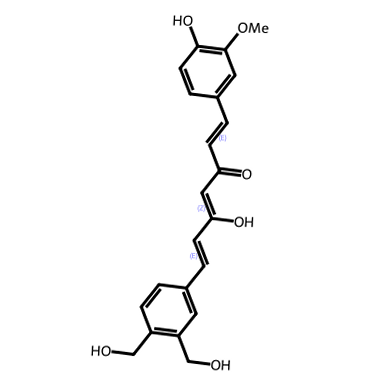 COc1cc(/C=C/C(=O)/C=C(O)/C=C/c2ccc(CO)c(CO)c2)ccc1O